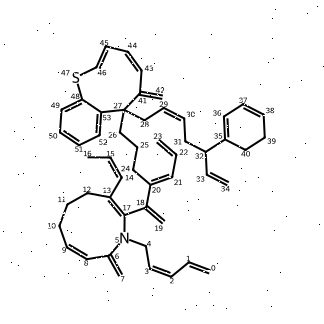 C=C/C=C\CN1C(=C)/C=C\CCCC(/C=C\C)=C\1C(=C)/C(=C/C=C)CCCC1(C/C=C\CC(C=C)C2=CC=CCC2)C(=C)/C=C\C=C\Sc2ccccc21